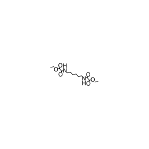 CCOC(=O)C(=O)NCCCCCCNC(=O)C(=O)OCC